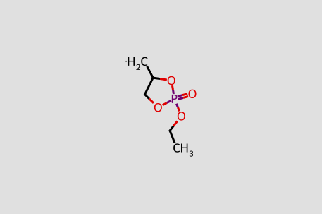 [CH2]C1COP(=O)(OCC)O1